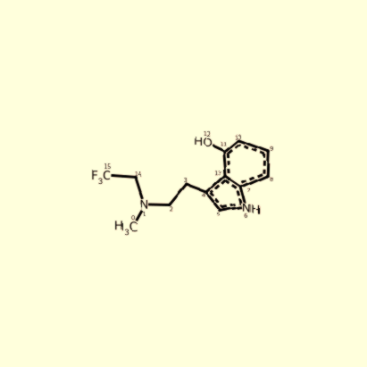 CN(CCc1c[nH]c2cccc(O)c12)CC(F)(F)F